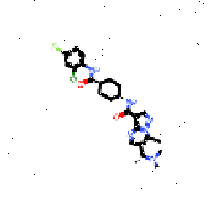 Cc1c([C@@H](C)N(C)C)cnc2c(C(=O)N[C@H]3CC[C@H](C(=O)Nc4ccc(F)cc4Cl)CC3)cnn12